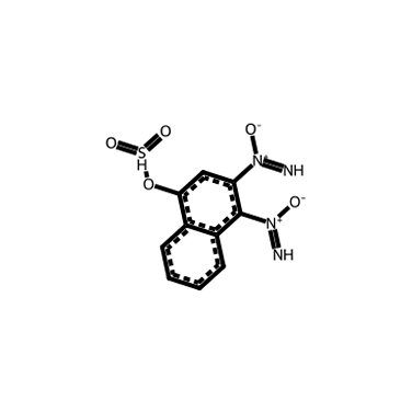 N=[N+]([O-])c1cc(O[SH](=O)=O)c2ccccc2c1[N+](=N)[O-]